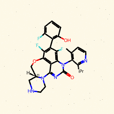 Cc1ccnc(C(C)C)c1-n1c(=O)nc2c3c(c(F)c(-c4c(O)cccc4F)c(F)c31)OC[C@H]1CNCCN21